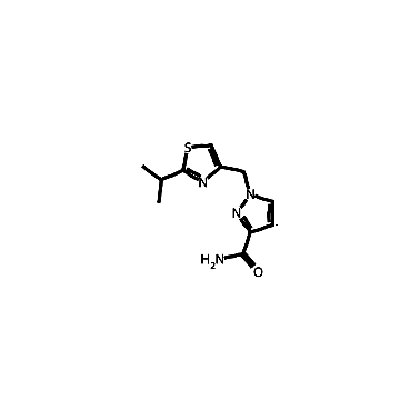 CC(C)c1nc(Cn2c[c]c(C(N)=O)n2)cs1